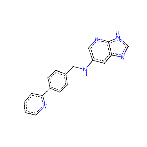 c1ccc(-c2ccc(CNc3cnc4[nH]cnc4c3)cc2)nc1